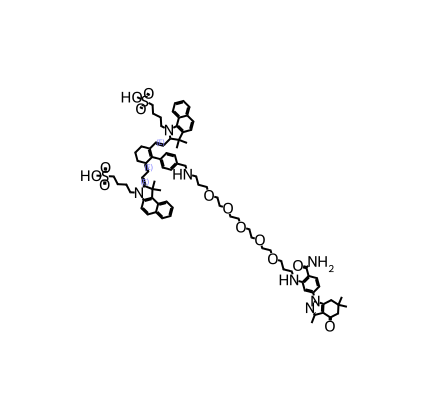 Cc1nn(-c2ccc(C(N)=O)c(NCCCOCCOCCOCCOCCOCCCNCc3ccc(C4=C(/C=C/C5N(CCCCS(=O)(=O)O)c6c(ccc7ccccc67)C5(C)C)CCC/C4=C\C=C4\N(CCCCS(=O)(=O)O)c5ccc6ccccc6c5C4(C)C)cc3)c2)c2c1C(=O)CC(C)(C)C2